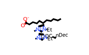 CCCCCCCCCCC(=O)[O-].CCCCCCCCCCCC(=O)[O-].CCn1cc[n+](C)c1.CCn1cc[n+](C)c1